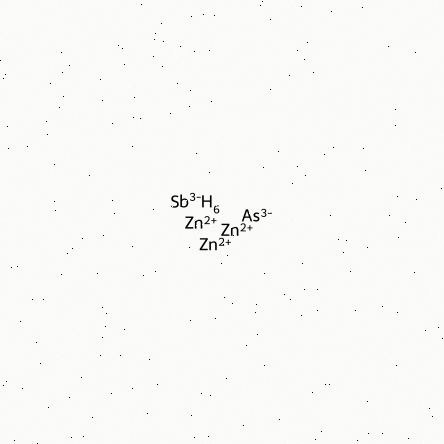 [As-3].[SbH6-3].[Zn+2].[Zn+2].[Zn+2]